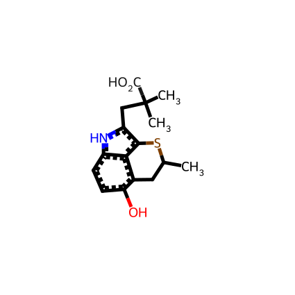 CC1Cc2c(O)ccc3[nH]c(CC(C)(C)C(=O)O)c(c23)S1